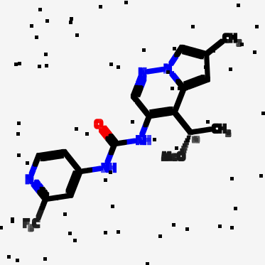 CO[C@@H](C)c1c(NC(=O)Nc2ccnc(C(F)(F)F)c2)cnn2cc(C)cc12